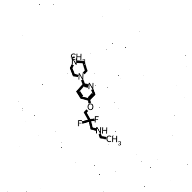 CCNCC(F)(F)COc1ccc(N2CCN(C)CC2)nc1